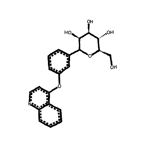 OC[C@H]1OC(c2cccc(Oc3ccnc4ccccc34)c2)[C@@H](O)[C@@H](O)[C@@H]1O